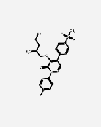 CC(CCO)COc1c(-c2ccc(S(C)(=O)=O)cc2)cnn(-c2ccc(F)cc2)c1=O